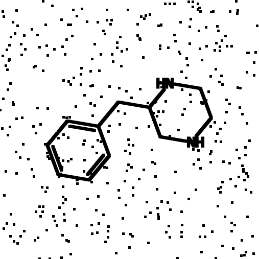 c1ccc(CC2CNCCN2)cc1